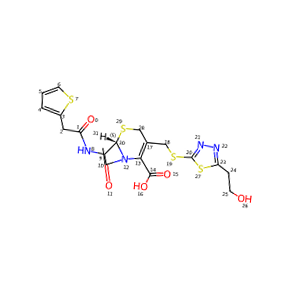 O=C(Cc1cccs1)NC1C(=O)N2C(C(=O)O)=C(CSc3nnc(CCO)s3)CS[C@@H]12